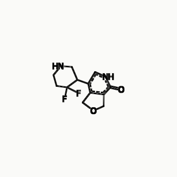 O=c1[nH]cc(C2CNCCC2(F)F)c2c1COC2